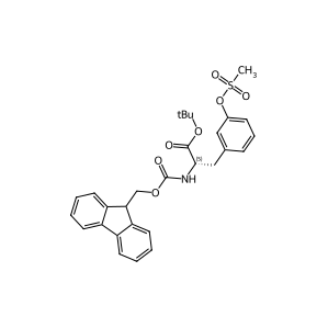 CC(C)(C)OC(=O)[C@H](Cc1cccc(OS(C)(=O)=O)c1)NC(=O)OCC1c2ccccc2-c2ccccc21